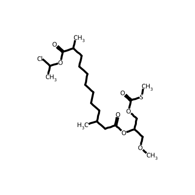 COCC(COC(=O)SC)OC(=O)CC(C)CCCCCCCC(C)C(=O)OC(C)Cl